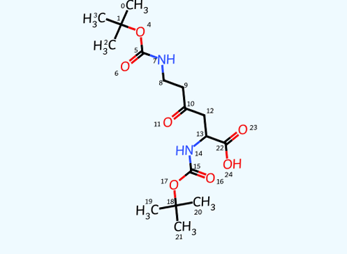 CC(C)(C)OC(=O)NCCC(=O)CC(NC(=O)OC(C)(C)C)C(=O)O